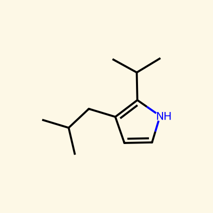 CC(C)Cc1cc[nH]c1C(C)C